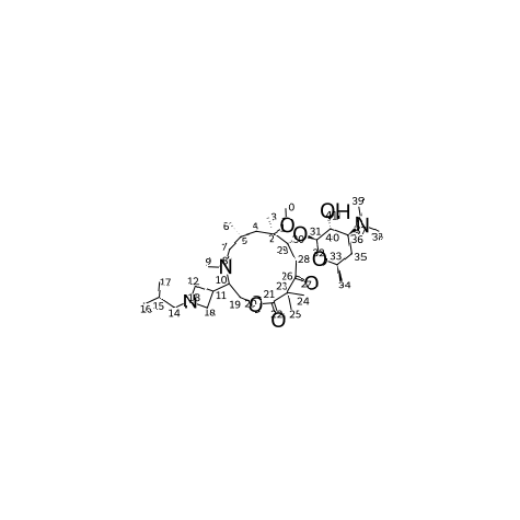 CO[C@]1(C)C[C@@H](C)CN(C)C(C2CN(CC(C)C)C2)COC(=O)C(C)(C)C(=O)C[C@H]1O[C@@H]1O[C@H](C)C[C@H](N(C)C)[C@H]1O